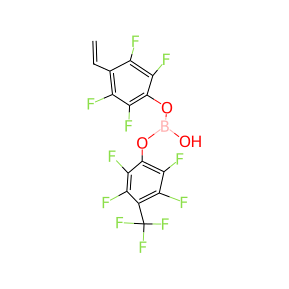 C=Cc1c(F)c(F)c(OB(O)Oc2c(F)c(F)c(C(F)(F)F)c(F)c2F)c(F)c1F